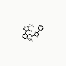 Cc1cccc(-n2nnn(C)c2=O)c1COc1ncc(-c2ccccc2)s1